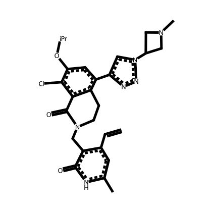 C=Cc1cc(C)[nH]c(=O)c1CN1CCc2c(-c3cn(C4CN(C)C4)nn3)cc(OC(C)C)c(Cl)c2C1=O